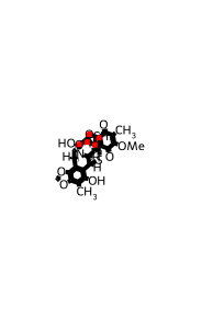 COC1=C(C)C(=O)C2=C(C1=O)C1[C@@H]3[C@@H]4SCC(=O)C(=O)OC[C@@H](c5c6c(c(C)c(O)c54)OCO6)N3[C@@H](O)C(C2)N1C